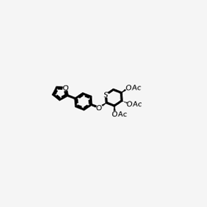 CC(=O)O[C@@H]1[C@@H](OC(C)=O)[C@@H](Oc2ccc(-c3ccco3)cc2)SC[C@H]1OC(C)=O